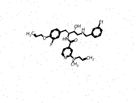 C=CCOc1ccc(C[C@H](NC(=O)c2ccnc(N(C)CC=C)c2)[C@H](O)CNCc2cccc(CC)c2)cc1F